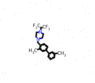 Cc1cccc(-c2ccc(CN3CCN(C(C(F)(F)F)C(F)(F)F)CC3)c(C)c2)c1